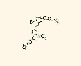 Cc1cc(OCOCC[Si](C)(C)C)cc(/C=C/c2ccc(OCOCC[Si](C)(C)C)c([N+](=O)[O-])c2)c1Br